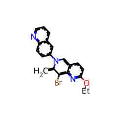 C=C1C(Br)=c2nc(OCC)ccc2=CN1c1ccc2ncccc2c1